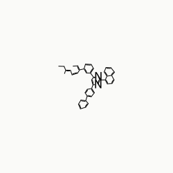 C\C=C(/C=C\C=C(/C)CC)c1cccc(-c2cc(-c3ccc(-c4ccccc4)cc3)nc(-c3cccc4ccccc34)n2)c1